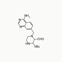 CCCCC1NCCN(Cc2ccc3c(N)ncnc3c2)C1C=O